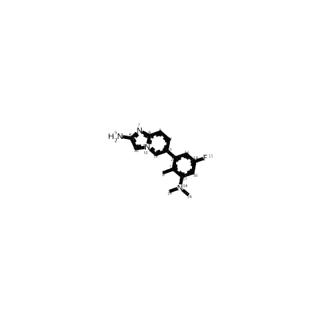 Cc1c(-c2ccc3nc(N)[c]n3c2)cc(F)cc1N(C)C